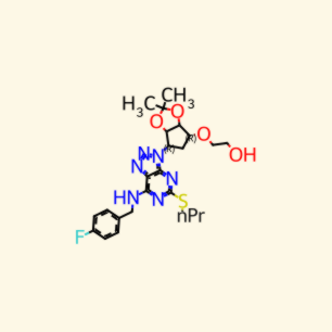 CCCSc1nc(NCc2ccc(F)cc2)c2nnn([C@@H]3C[C@@H](OCCO)C4OC(C)(C)OC43)c2n1